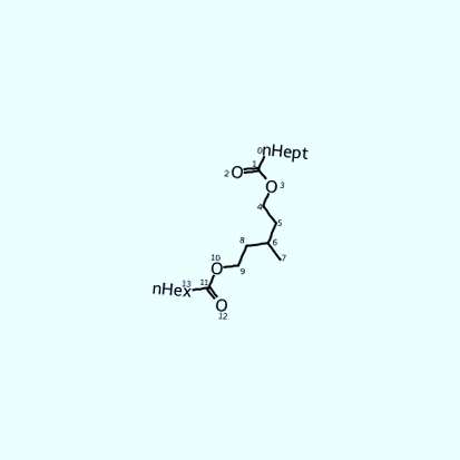 CCCCCCCC(=O)OCCC(C)CCOC(=O)CCCCCC